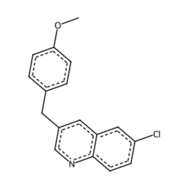 COc1ccc(Cc2cnc3ccc(Cl)cc3c2)cc1